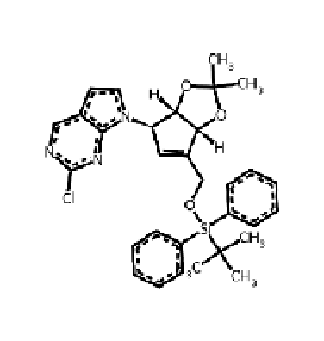 CC1(C)O[C@@H]2[C@H](O1)C(CO[Si](c1ccccc1)(c1ccccc1)C(C)(C)C)=C[C@H]2n1ccc2cnc(Cl)nc21